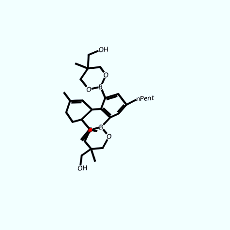 C=C(C)C1CCC(C)=CC1c1c(B2OCC(C)(CO)CO2)cc(CCCCC)cc1B1OCC(C)(CO)CO1